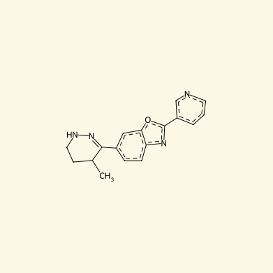 CC1CCNN=C1c1ccc2nc(-c3cccnc3)oc2c1